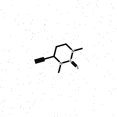 C#CC1CCN(C)S(=S)N1C